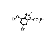 CCOC(=O)c1c(C)nc2c(OCC)cc(Br)cn12